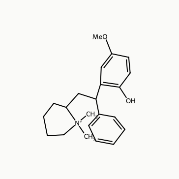 COc1ccc(O)c(C(CC2CCCC[N+]2(C)C)c2ccccc2)c1